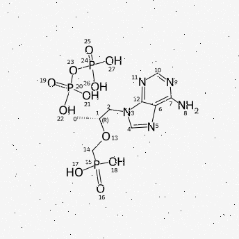 C[C@H](Cn1cnc2c(N)ncnc21)OCP(=O)(O)O.O=P(O)(O)OP(=O)(O)O